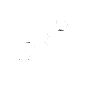 O=C(O)C1CC(C(=O)N(O)Cc2ccccc2)C1Cc1nnn[nH]1